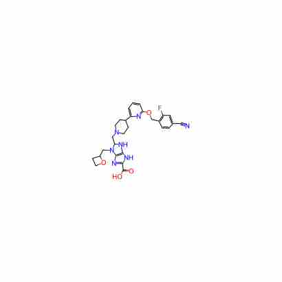 N#Cc1ccc(COc2cccc(C3CCN(CC4Nc5[nH]c(C(=O)O)nc5N4CC4CCO4)CC3)n2)c(F)c1